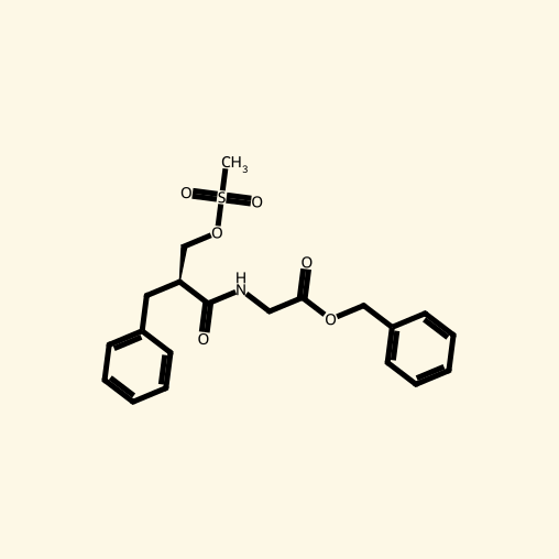 CS(=O)(=O)OC[C@H](Cc1ccccc1)C(=O)NCC(=O)OCc1ccccc1